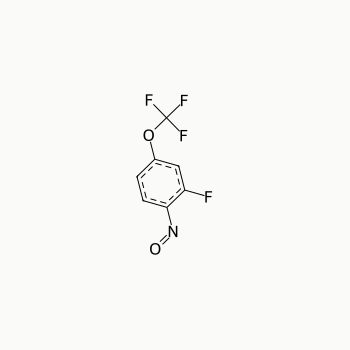 O=Nc1ccc(OC(F)(F)F)cc1F